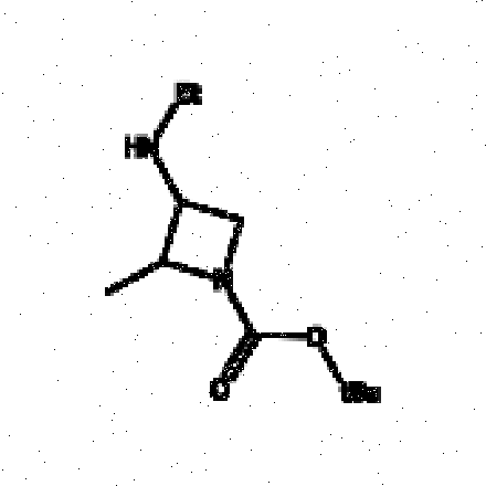 CCNC1CN(C(=O)OC(C)(C)C)C1C